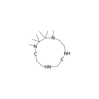 CN1CCCNCCNCCN(C)C(C)(C)C1(C)C